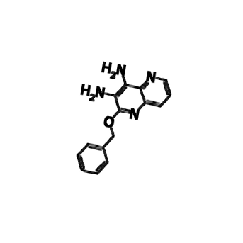 Nc1c(OCc2ccccc2)nc2cccnc2c1N